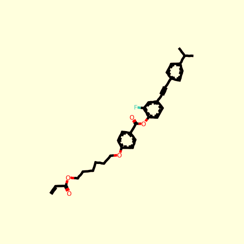 C=CC(=O)OCCCCCCOc1ccc(C(=O)Oc2ccc(C#Cc3ccc(C(C)C)cc3)cc2F)cc1